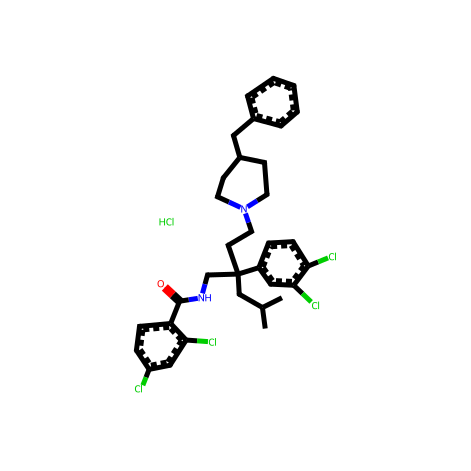 CC(C)CC(CCN1CCC(Cc2ccccc2)CC1)(CNC(=O)c1ccc(Cl)cc1Cl)c1ccc(Cl)c(Cl)c1.Cl